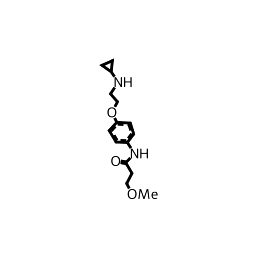 COCCC(=O)Nc1ccc(OCCNC2CC2)cc1